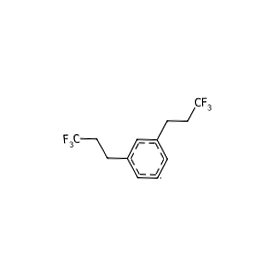 FC(F)(F)CCc1c[c]cc(CCC(F)(F)F)c1